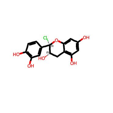 Oc1cc(O)c2c(c1)O[C@](Cl)(c1ccc(O)c(O)c1)[C@@H](O)C2